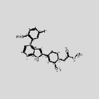 COc1ccc(F)cc1-c1ccnc2[nH]c(C3=C[C@H](C)N(CC(=O)OC(C)(C)C)CC3)cc12